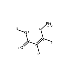 COC(=O)C(C)=C(C)CP